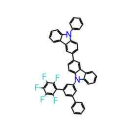 Fc1c(F)c(F)c(-c2cc(-c3ccccc3)cc(-n3c4ccccc4c4cc(-c5ccc6c(c5)c5ccccc5n6-c5ccccc5)ccc43)c2)c(F)c1F